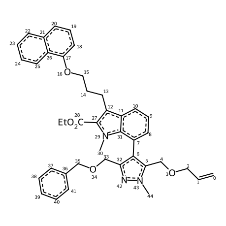 C=CCOCc1c(-c2cccc3c(CCCOc4cccc5ccccc45)c(C(=O)OCC)n(C)c23)c(COCc2ccccc2)nn1C